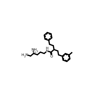 Cc1cccc(CCC(CCc2ccccc2)C(=O)NCCC[C@H](N)CN)c1